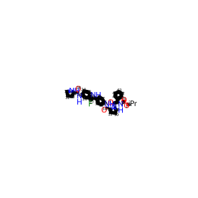 CC(C)OC(=O)N[C@@H](C(=O)N1CCC[C@H]1C(=O)Nc1ccc(-c2[nH]c3ccc(NC(=O)[C@@H]4CCCN4)cc3c2F)cc1)c1ccccc1